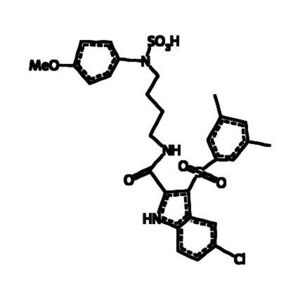 COc1ccc(N(CCCCNC(=O)c2[nH]c3ccc(Cl)cc3c2S(=O)(=O)c2cc(C)cc(C)c2)S(=O)(=O)O)cc1